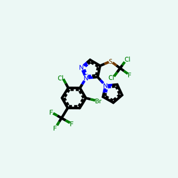 FC(Cl)(Cl)Sc1cnn(-c2c(Cl)cc(C(F)(F)F)cc2Br)c1-n1cccc1